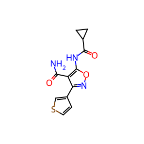 NC(=O)c1c(-c2ccsc2)noc1NC(=O)C1CC1